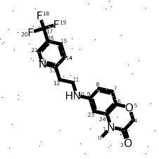 CN1C(=O)COc2ccc(NCCc3ccc(C(F)(F)F)cn3)cc21